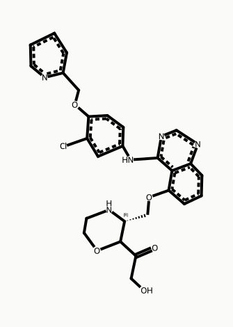 O=C(CO)C1OCCN[C@@H]1COc1cccc2ncnc(Nc3ccc(OCc4ccccn4)c(Cl)c3)c12